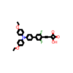 CCOc1ccc(N(c2ccc(OCC)cc2)c2ccc(-c3cc(F)c(C#Cc4c(O)c(=O)c4=O)c(F)c3)cc2)cc1